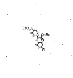 CCOC(=O)c1ccc(N(Cc2ccc(Cl)cc2)C(=O)OC(C)(C)C)cc1